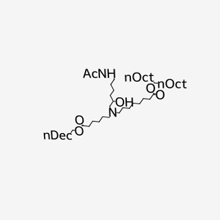 CCCCCCCCCCCOC(=O)CCCCCN(CCCCCCCC(=O)OC(CCCCCCCC)CCCCCCCC)CC(O)CCCCNC(C)=O